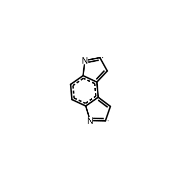 [C]1=Nc2ccc3c(c2=C1)=C[C]=N3